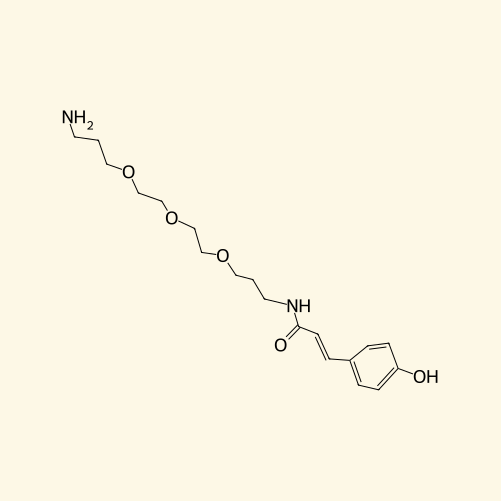 NCCCOCCOCCOCCCNC(=O)/C=C/c1ccc(O)cc1